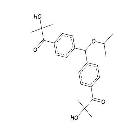 CC(C)OC(c1ccc(C(=O)C(C)(C)O)cc1)c1ccc(C(=O)C(C)(C)O)cc1